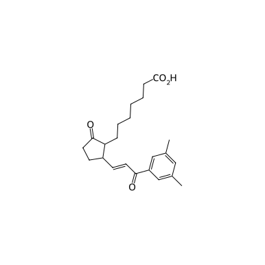 Cc1cc(C)cc(C(=O)C=CC2CCC(=O)C2CCCCCCC(=O)O)c1